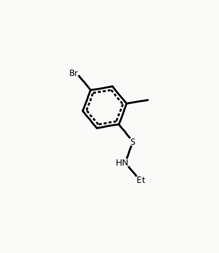 CCNSc1ccc(Br)cc1C